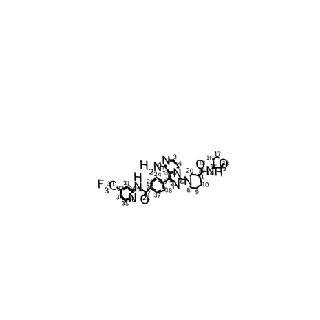 Nc1nccn2c(N3CCCC(C(=O)N[C@@H]4CCOC4)C3)nc(-c3ccc(C(=O)Nc4cc(C(F)(F)F)ccn4)cc3)c12